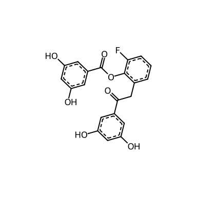 O=C(Cc1cccc(F)c1OC(=O)c1cc(O)cc(O)c1)c1cc(O)cc(O)c1